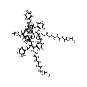 CCCCCCCCCCC[C@H](CC(=O)N[C@H]1[C@@H](OP(=O)(OCc2ccccc2)OCc2ccccc2)O[C@H](CO)[C@@H](O)[C@@H]1OC(=O)C[C@@H](CCCCCCCCCCC)OCc1ccccc1)OCc1ccccc1